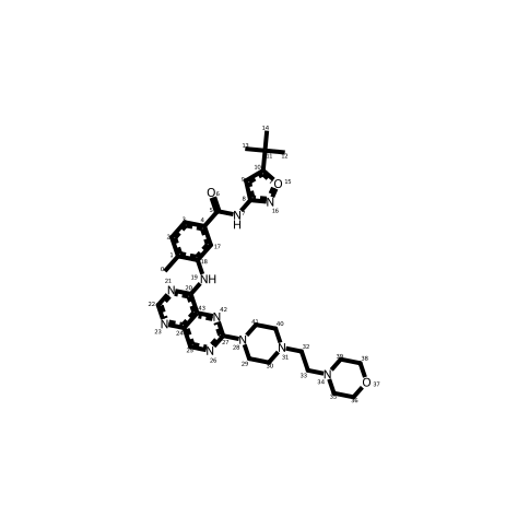 Cc1ccc(C(=O)Nc2cc(C(C)(C)C)on2)cc1Nc1ncnc2cnc(N3CCN(CCN4CCOCC4)CC3)nc12